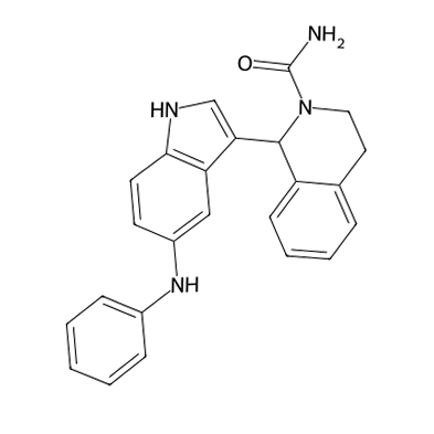 NC(=O)N1CCc2ccccc2C1c1c[nH]c2ccc(Nc3ccccc3)cc12